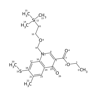 CCOC(=O)c1cn(COCC[Si](C)(C)C)c2cc(SC)c(C)cc2c1=O